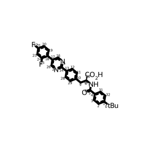 CC(C)(C)c1ccc(C(=O)N[C@@H](Cc2ccc(-c3ncc(-c4ccc(F)cc4F)cn3)cc2)C(=O)O)cc1